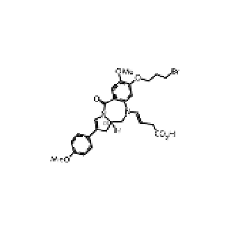 COc1ccc(C2=CN3C(=O)c4cc(OC)c(OCCCBr)cc4N(C=CCC(=O)O)C[C@@H]3C2)cc1